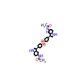 CC(=O)Nc1ccc2[nH]cc(-c3ccc(S(=O)(=O)c4ccc(-c5c[nH]c6ccc(NC(C)=O)cc56)cc4)cc3)c2c1